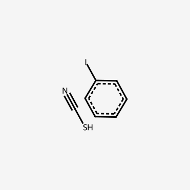 Ic1ccccc1.N#CS